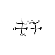 C=C(F)C(F)(F)F.CC(F)(Cl)C(F)(F)F